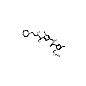 COCn1cc(C)cc1C(=O)Nc1cc(C(=O)NCCN2CCOCC2)n(C)c1